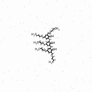 C=CC=COCc1cc(COC=CC=C)c(O)c(Cc2cc(COC=CC)cc(Cc3cc(COC=CC)cc(COC=CC=C)c3O)c2O)c1